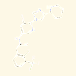 O=C(Cc1cccc(C(F)(F)F)c1F)Nc1cnc(-n2cnc([C@H]3CCCCN3)c2)c(F)c1